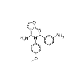 COc1ccc(N2C(N)=c3ccoc3=NC2c2cccc(N)c2)cc1